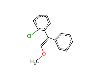 CO/C=C(\c1ccccc1)c1ccccc1Cl